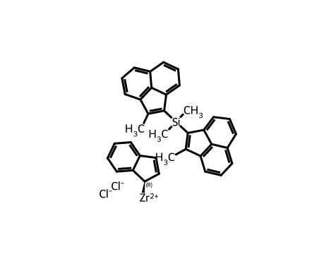 CC1=C([Si](C)(C)C2=C(C)c3cccc4cccc2c34)c2cccc3cccc1c23.[Cl-].[Cl-].[Zr+2][C@@H]1C=Cc2ccccc21